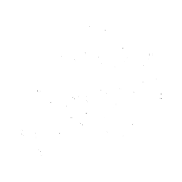 COc1ccc(-c2ccccc2)cc1NC(=O)C(Nc1cccc(C(=N)N)c1)c1ccccc1OC1OC(CO)C(O)C(O)C1O